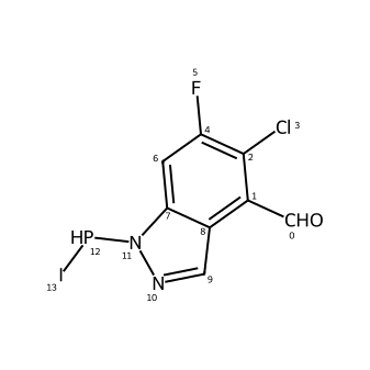 O=Cc1c(Cl)c(F)cc2c1cnn2PI